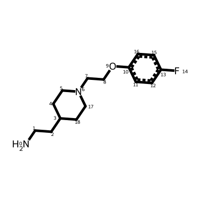 NCCC1CCN(CCOc2ccc(F)cc2)CC1